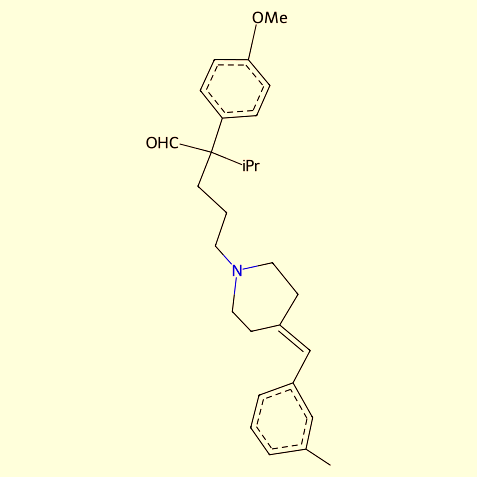 COc1ccc(C(C=O)(CCCN2CCC(=Cc3cccc(C)c3)CC2)C(C)C)cc1